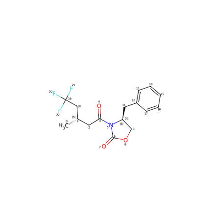 C[C@@H](CC(=O)N1C(=O)OC[C@@H]1Cc1ccccc1)CC(F)(F)F